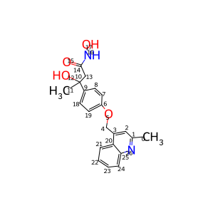 Cc1cc(COc2ccc(C(C)(O)CC(=O)NO)cc2)c2ccccc2n1